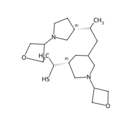 CC(S)[C@@H]1CC(CC(C)[C@H]2CCN(C3COC3)C2)CN(C2COC2)C1